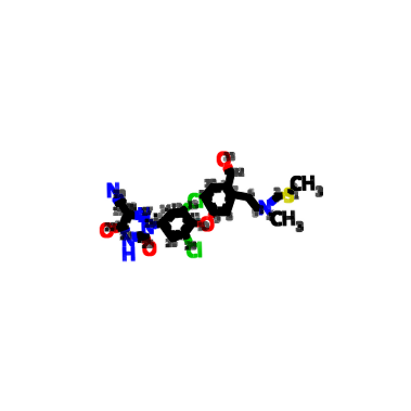 CSCN(C)CCc1cc(Oc2c(Cl)cc(-n3nc(C#N)c(=O)[nH]c3=O)cc2Cl)ccc1C=O